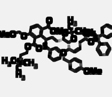 COCOc1ccc(C(=O)OC)c(C(CC[C@@H]2OC(C)(C)O[C@@H]2C(/C=C\CC(C)O[Si](c2ccccc2)(c2ccccc2)C(C)(C)C)OCc2ccc(OC)cc2)Sc2ccccc2)c1C(=O)OCC[Si](C)(C)C